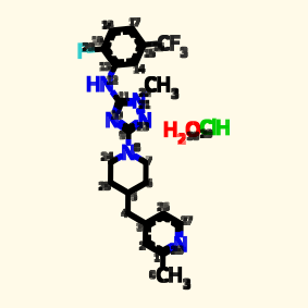 Cc1cc(CC2CCN(c3nc(Nc4cc(C(F)(F)F)ccc4F)n(C)n3)CC2)ccn1.Cl.O